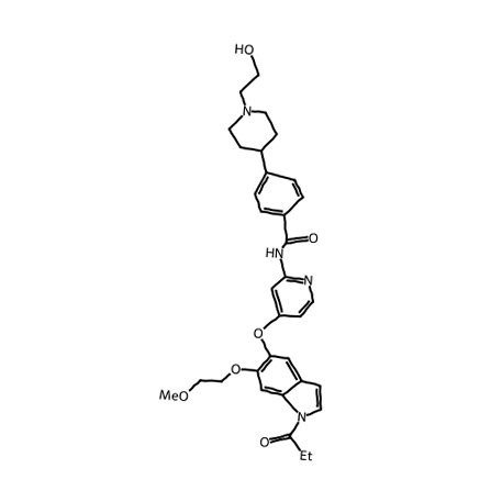 CCC(=O)n1ccc2cc(Oc3ccnc(NC(=O)c4ccc(C5CCN(CCO)CC5)cc4)c3)c(OCCOC)cc21